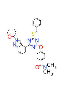 CN(C)C(=O)c1ccc(Oc2nc(SCc3ccccc3)nc(-c3cccc4nn(C5CCCCO5)cc34)n2)cc1